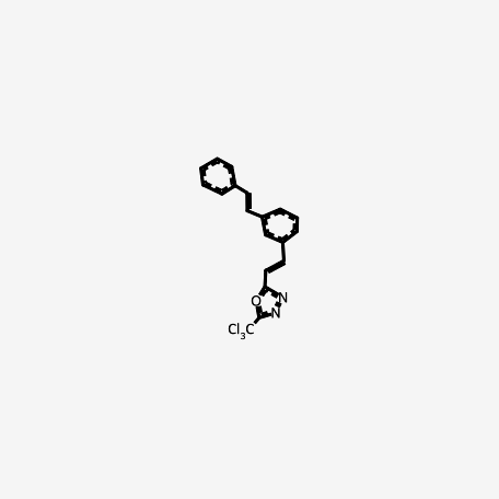 ClC(Cl)(Cl)c1nnc(C=Cc2cccc(C=Cc3ccccc3)c2)o1